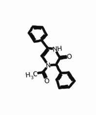 CC(=O)N1C=C(c2ccccc2)NC(=O)C1c1ccccc1